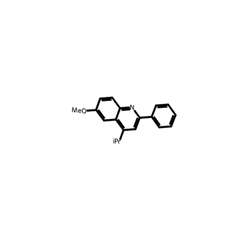 COc1ccc2nc(-c3ccccc3)cc(C(C)C)c2c1